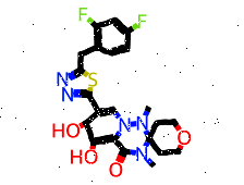 CN1C(=O)C2=C(O)C(O)C(c3nnc(Cc4ccc(F)cc4F)s3)=CN2N(C)C12CCOCC2